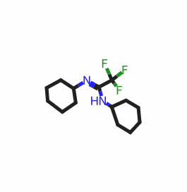 FC(F)(F)C(=NC1CCCCC1)NC1CCCCC1